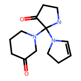 O=C1CCCN(C2(N3C=CCC3)[N]CCC2=O)C1